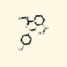 CCNC(=O)N1CCC[C@H](NSC)[C@@H]1CO[C@H]1CC[C@@H](C(F)(F)F)CC1